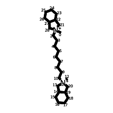 C[N+]1(CCCCCCCCC[N+]2(C)CC3CCCCC3C2)CC2CCCCC2C1